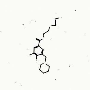 Nc1c(Br)cc(C(=O)OCCOCCO)cc1CN1CCCCC1